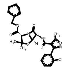 Cc1onc(-c2ccccc2Cl)c1C(=O)N[C@@H]1C(=O)N2[C@@H]1SC(C)(C)[C@@H]2C(=O)OCc1ccccc1